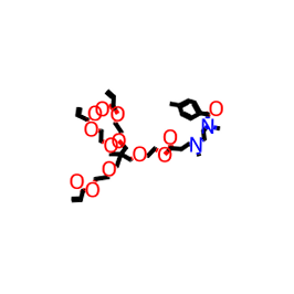 C=CC(=O)OCCOCC(COCCOC(=O)C=C)(COCCOC(=O)C=C)COCCOC(=O)CCN(C)CCN(C)C(=O)c1ccc(C)cc1